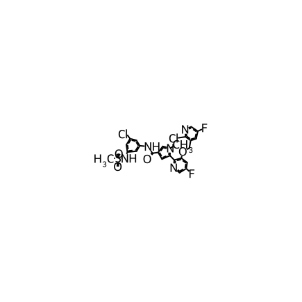 Cn1cc(C(=O)Nc2cc(Cl)cc(NS(C)(=O)=O)c2)cc1-c1ncc(F)cc1OCc1cc(F)cnc1Cl